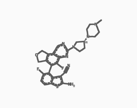 CN1CCN([C@@H]2CCN(c3ncc4c5c(c(-c6c(F)ccc7sc(N)c(C#N)c67)c(F)c4n3)COC5)C2)CC1